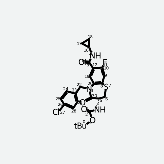 CC(C)(C)OC(=O)N[C@H]1CSc2cc(F)c(C(=O)NC3CC3)cc2N(Cc2ccc(Cl)cc2)C1=O